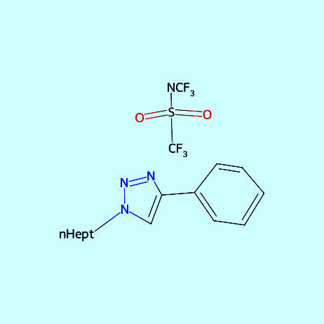 CCCCCCCn1cc(-c2ccccc2)nn1.O=S(=O)(NC(F)(F)F)C(F)(F)F